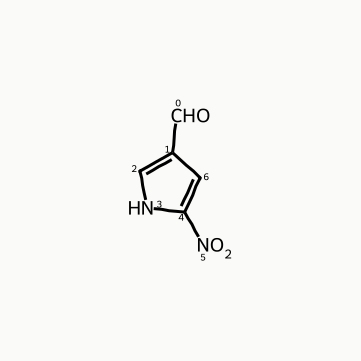 O=Cc1c[nH]c([N+](=O)[O-])c1